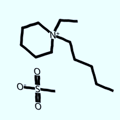 CCCCC[N+]1(CC)CCCCC1.CS(=O)(=O)[O-]